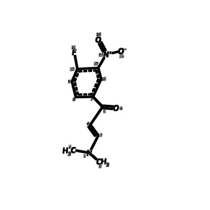 CN(C)C=CC(=O)c1ccc(F)c([N+](=O)[O-])c1